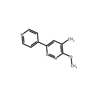 COc1nnc(-c2ccncc2)cc1C